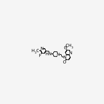 COc1cnc2ccc(=O)n(CCN3CCC(NCc4cnc(C)c(F)c4)CC3)c2c1